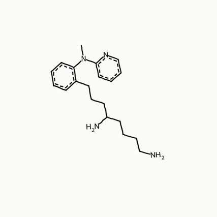 CN(c1ccccn1)c1ccccc1CCCC(N)CCCCN